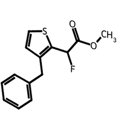 COC(=O)C(F)c1sccc1Cc1ccccc1